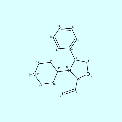 O=CC1OCC(c2ccccc2)N1C1CCNCC1